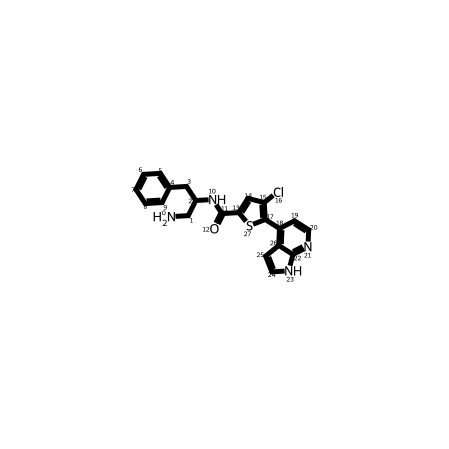 NCC(Cc1ccccc1)NC(=O)c1cc(Cl)c(-c2ccnc3[nH]ccc23)s1